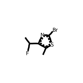 Cc1sc(Br)nc1C(C)F